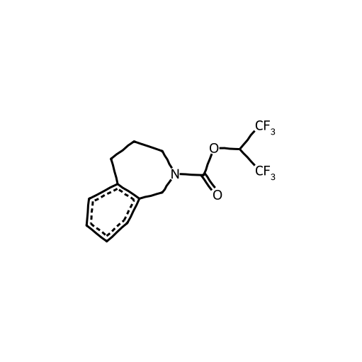 O=C(OC(C(F)(F)F)C(F)(F)F)N1CCCc2ccccc2C1